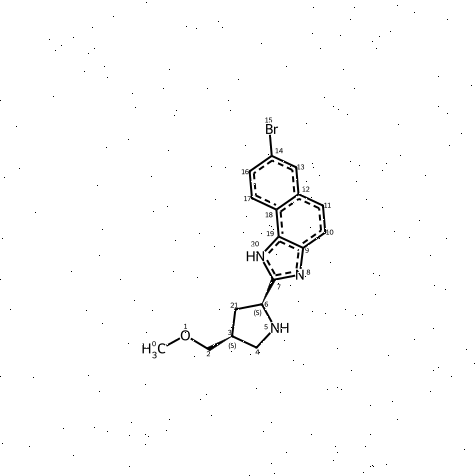 COC[C@@H]1CN[C@H](c2nc3ccc4cc(Br)ccc4c3[nH]2)C1